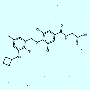 O=C(O)CNC(=O)c1cc(Cl)c(OCc2cc(Cl)cc(NC3CCC3)c2F)c(Cl)c1